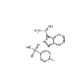 Cc1ccc(S(=O)(=O)O)cc1.N=C(N)n1nnc2ccccc21